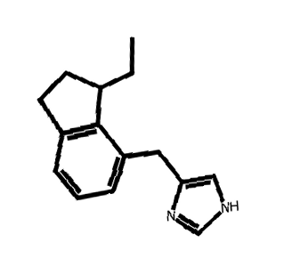 CCC1CCc2cccc(Cc3c[nH]cn3)c21